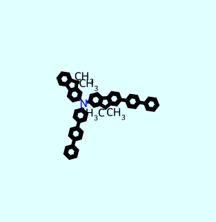 CC1(C)c2ccccc2-c2ccc(N(c3ccc(-c4ccc(-c5ccccc5)cc4)cc3)c3ccc4c(c3)C(C)(C)c3cc(-c5ccc(-c6ccccc6)cc5)ccc3-4)cc21